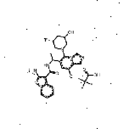 CC(NC(=O)c1c(N)nn2cccnc12)c1cc(Cl)c2cncn2c1N1C[C@H](O)C[C@@H](F)C1.O=C(O)C(F)(F)F